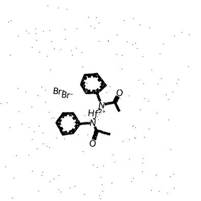 CC(=O)[N]([Hf+2][N](C(C)=O)c1ccccc1)c1ccccc1.[Br-].[Br-]